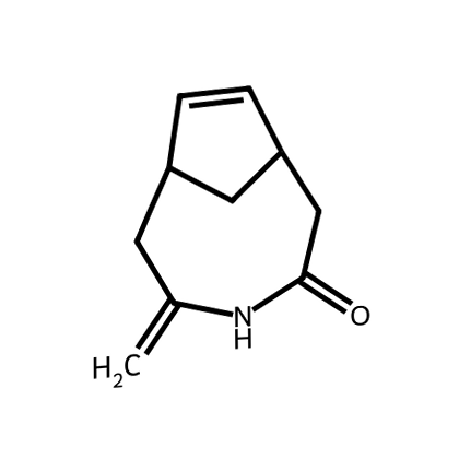 C=C1CC2C=CC(CC(=O)N1)C2